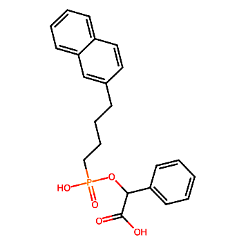 O=C(O)C(OP(=O)(O)CCCCc1ccc2ccccc2c1)c1ccccc1